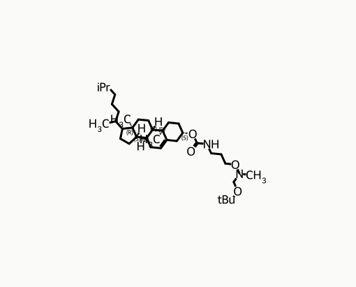 CC(C)CCCC(C)C1CC[C@H]2[C@@H]3CC=C4C[C@@H](OC(=O)NCCCON(C)COC(C)(C)C)CC[C@]4(C)[C@H]3CC[C@]12C